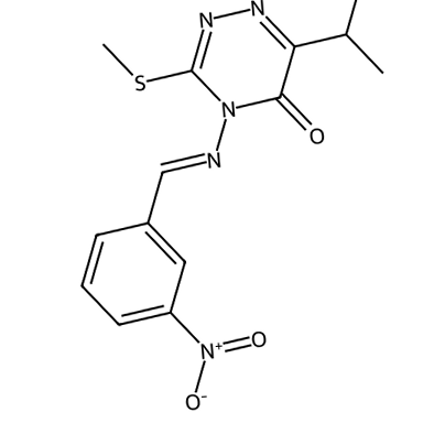 CSc1nnc(C(C)C)c(=O)n1N=Cc1cccc([N+](=O)[O-])c1